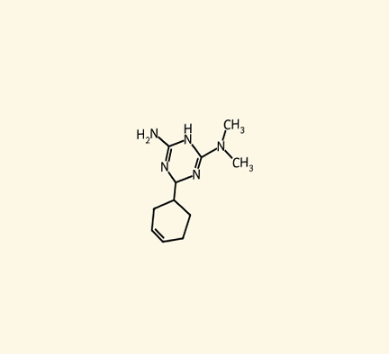 CN(C)C1=NC(C2CC=CCC2)N=C(N)N1